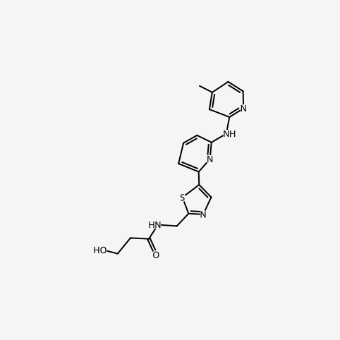 Cc1ccnc(Nc2cccc(-c3cnc(CNC(=O)CCO)s3)n2)c1